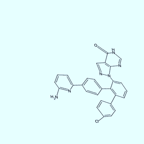 Nc1cccc(-c2ccc(-c3c(-c4ccc(Cl)cc4)cccc3-n3ncc4c(=O)[nH]cnc43)cc2)n1